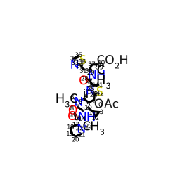 CC(=O)O[C@H](C[C@H](C(C)C)N(C)C(=O)[C@H](CC1CC1)NC(=O)[C@H]1CCCCN1C)c1nc(C(=O)N[C@@H](Cc2nccs2)C[C@H](C)C(=O)O)cs1